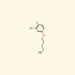 Cc1ccc(OCCCCC#N)cc1Br